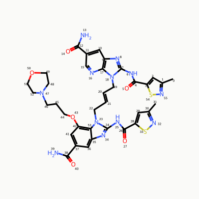 Cc1cc(C(=O)Nc2nc3cc(C(N)=O)cnc3n2C/C=C/Cn2c(NC(=O)c3cc(C)ns3)nc3cc(C(N)=O)cc(OCCCN4CCOCC4)c32)sn1